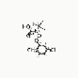 CC(C)(C)N(OOc1cc(Cl)ccc1Cl)C(=O)O